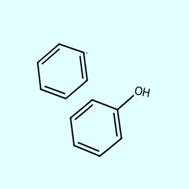 Oc1ccccc1.[c]1ccccc1